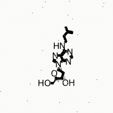 C=C(C)CCNc1ncnc2c1ncn2[C@H]1C[C@H](O)[C@@H](CO)O1